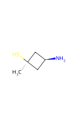 C[C@]1(S)C[C@@H](N)C1